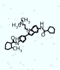 CC1CCCCC1C(=O)Nc1ccc(-c2cc3cc(NC(=O)C4CCCCC4)ccc3n2CCN(C)C)cc1